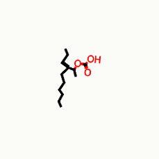 CCC=C(CCCCCC)C(C)OC(=O)O